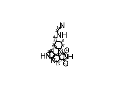 N#CCNC[C@H]1CC[C@H](n2c(=O)[nH]c(=O)c3cnc4[nH]ccc4c32)CC1